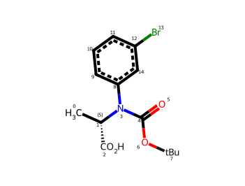 C[C@@H](C(=O)O)N(C(=O)OC(C)(C)C)c1cccc(Br)c1